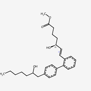 CCCCCC(O)Cc1ccc(-c2ccccc2/C=C/[C@@H](O)CCCC(=O)OC)cc1